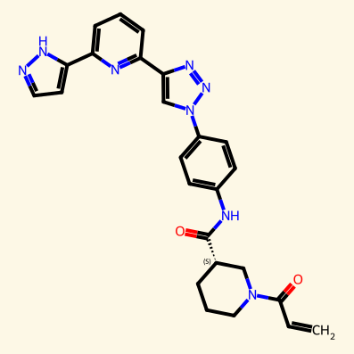 C=CC(=O)N1CCC[C@H](C(=O)Nc2ccc(-n3cc(-c4cccc(-c5ccn[nH]5)n4)nn3)cc2)C1